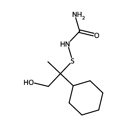 CC(CO)(SNC(N)=O)C1CCCCC1